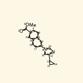 COC(=O)c1ccc2cc(-n3cnc(C4CC4)c3)ccc2c1